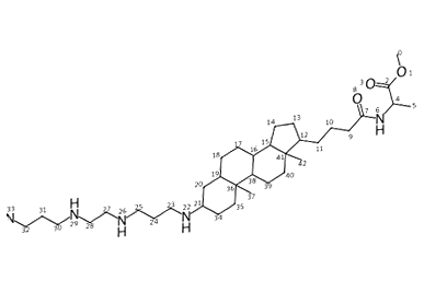 COC(=O)C(C)NC(=O)CCCC1CCC2C3CCC4CC(NCCCNCCNCCCN)CCC4(C)C3CCC12C